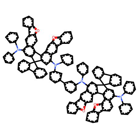 c1ccc(N(c2ccccc2)c2cc3c(c4cc5oc6ccccc6c5cc24)-c2c(cc(N(c4ccccc4)c4cccc(-c5cccc(N(c6ccccc6)c6cc7c(c8cc9oc%10ccccc%10c9cc68)-c6c(cc(N(c8ccccc8)c8ccccc8)c8ccc9c%10ccccc%10oc9c68)C76c7ccccc7-c7ccccc76)c5)c4)c4cc5c(cc24)oc2ccccc25)C32c3ccccc3-c3ccccc32)cc1